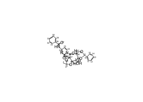 CC1(C)O[C@@H]2[C@@H](O)[C@@H]3OC(c4ccccc4)OC[C@H]3O[C@@H](n3ccc(NC(=O)c4ccccc4)nc3=O)[C@@H]2O1